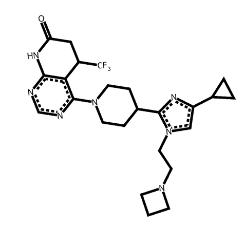 O=C1CC(C(F)(F)F)c2c(ncnc2N2CCC(c3nc(C4CC4)cn3CCN3CCC3)CC2)N1